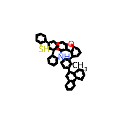 Cc1c(-c2cc3ccccc3c3ccccc23)cccc1-c1cccc2oc3cccc(Nc4ccccc4-c4cccc(-c5ccccc5S)c4)c3c12